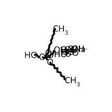 CCCCCCCCCCOCC(COCCO)(COCCO)COCCCCCCCCCC.O=S(=O)(O)O.O=S(=O)(O)O.[Na]